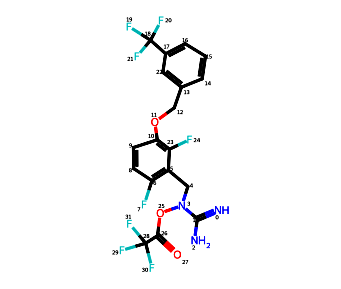 N=C(N)N(Cc1c(F)ccc(OCc2cccc(C(F)(F)F)c2)c1F)OC(=O)C(F)(F)F